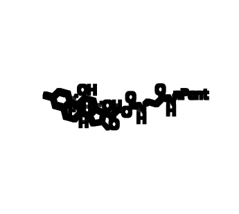 C=C1C=C[C@]2(C)C(=C1)CC[C@@H]1[C@H]3C[C@H](C)[C@@](O)(C(=O)COC(=O)NCCC(=O)NCCCCC)[C@]3(C)C[C@@H](O)[C@]12F